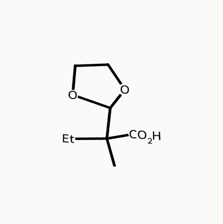 CCC(C)(C(=O)O)C1OCCO1